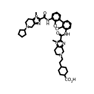 Cn1c(C(=O)Nc2cccc(-c3cccc(NC(=O)c4nc5c(n4C)CCN(C4CCCC4)C5)c3Cl)c2Cl)nc2c1CCN(CCC1CCC(C(=O)O)CC1)C2